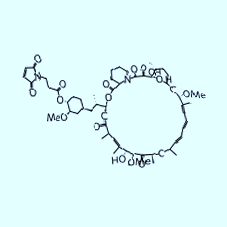 COC1C(=O)[C@H](C)CC(C)/C=C/C=C/C=C(\C)[C@@H](OC)C[C@@H]2CC[C@@H](C)[C@@](O)(O2)C(=O)C(=O)N2CCCCC2C(=O)O[C@H]([C@@H](C)C[C@@H]2CC[C@@H](OC(=O)CCN3C(=O)C=CC3=O)[C@H](OC)C2)CC(=O)C(C)/C=C(\C)[C@H]1O